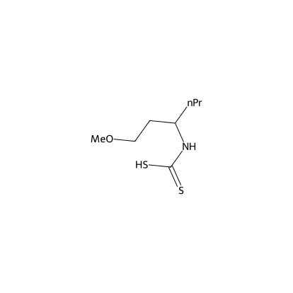 CCCC(CCOC)NC(=S)S